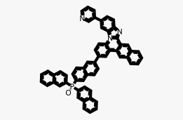 O=P(c1ccc2ccccc2c1)(c1ccc2ccccc2c1)c1ccc2cc(-c3ccc4c(c3)c3cc5ccccc5cc3c3nc5ccc(-c6cccnc6)cc5n43)ccc2c1